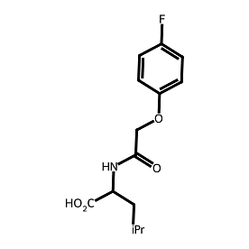 CC(C)CC(NC(=O)COc1ccc(F)cc1)C(=O)O